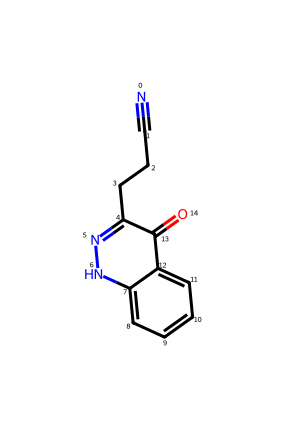 N#CCCc1n[nH]c2ccccc2c1=O